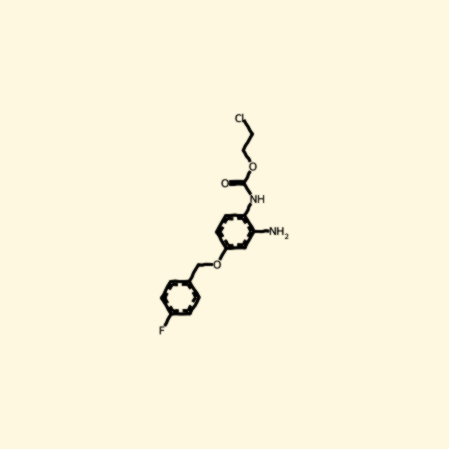 Nc1cc(OCc2ccc(F)cc2)ccc1NC(=O)OCCCl